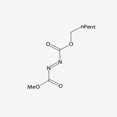 CCCCCCOC(=O)/N=N/C(=O)OC